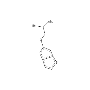 CCCCC(CC)COc1cc2sccc2s1